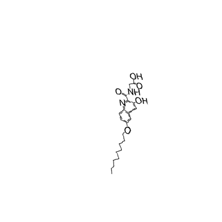 CCCCCCCCCCOc1ccc2nc(C(=O)NCC(=O)O)c(O)cc2c1